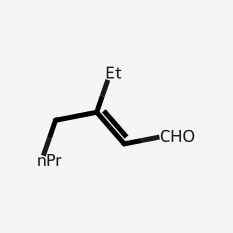 CCCCC(=CC=O)CC